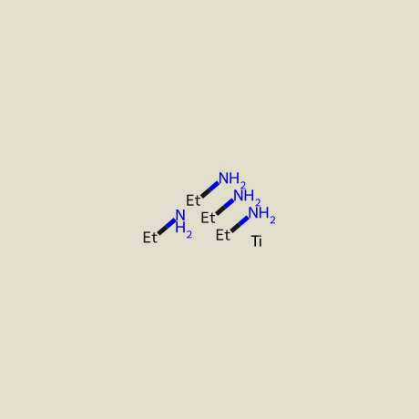 CCN.CCN.CCN.CCN.[Ti]